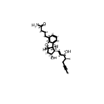 CC#CC[C@H](C)[C@H](O)C=C[C@@H]1[C@H]2c3cccc(CCCC(N)=O)c3O[C@H]2C[C@H]1O